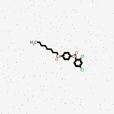 CCCCCCC[CH2][Co](=[O])[c]1cc[c]([Co](=[O])[c]2ccc(Cl)cc2Cl)cc1